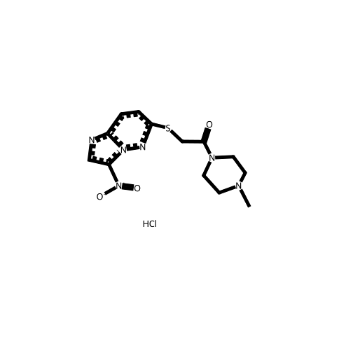 CN1CCN(C(=O)CSc2ccc3ncc([N+](=O)[O-])n3n2)CC1.Cl